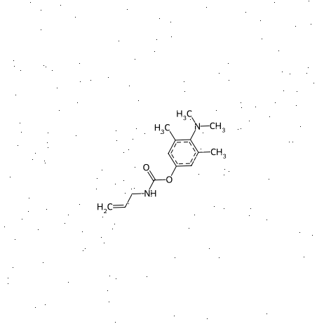 C=CCNC(=O)Oc1cc(C)c(N(C)C)c(C)c1